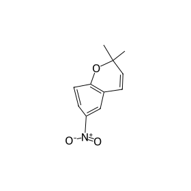 CC1(C)C=Cc2cc([N+](=O)[O-])ccc2O1